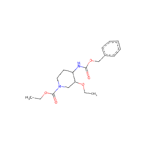 CCOC(=O)N1CCC(NC(=O)OCc2ccccc2)C(OCC)C1